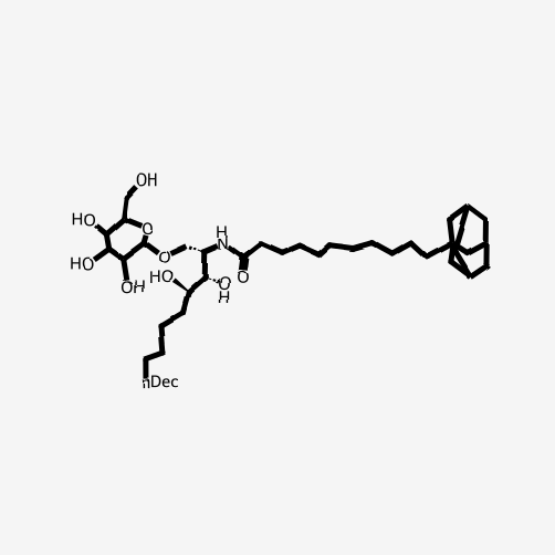 CCCCCCCCCCCCCC[C@@H](O)[C@@H](O)[C@H](COC1OC(CO)C(O)C(O)C1O)NC(=O)CCCCCCCCCCC12CC3CC(CC(C3)C1)C2